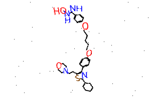 N=C(NO)c1ccc(OCCCCCOc2ccc(-c3nc(C4CCCCC4)sc3CCN3CCOCC3)cc2)cc1